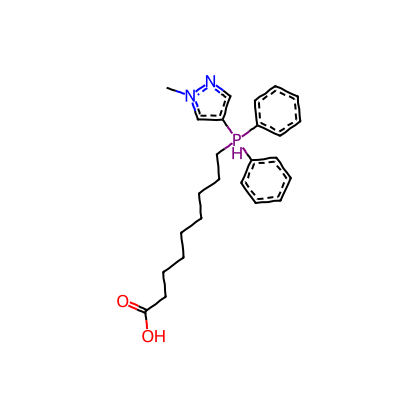 Cn1cc([PH](CCCCCCCCC(=O)O)(c2ccccc2)c2ccccc2)cn1